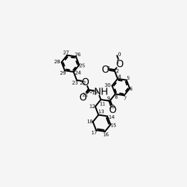 COC(=O)c1cccc(C(=O)C(CC2C=CC=CC2)NC(=O)OCc2ccccc2)c1